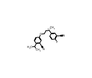 CC(C)c1ccc(OCC[C@H](C)c2ccc(F)c(C#N)c2)cc1C#N